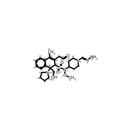 CON(C1CCN(C=NN)CC1)S(=O)(=O)C1C(CC=O)=C(C)c2ccccc2C1(CO)N1CCCC1